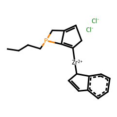 CCCCP1CC2=CC[C]([Zr+2][CH]3C=Cc4ccccc43)=C21.[Cl-].[Cl-]